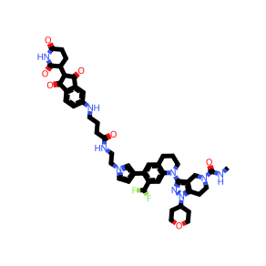 CNC(=O)N1CCc2c(c(N3CCCc4cc(-c5ccn(CCNC(=O)CCCNc6ccc7c(c6)C(=O)C(C6CCC(=O)NC6=O)C7=O)c5)c(C(F)F)cc43)nn2C2CCOCC2)C1